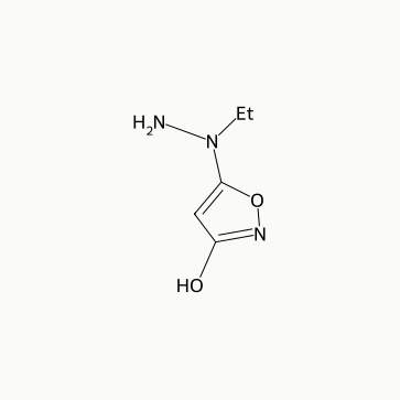 CCN(N)c1cc(O)no1